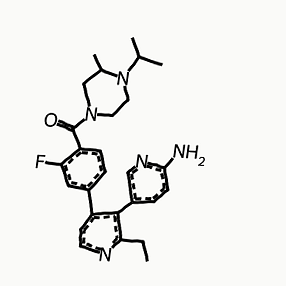 CCc1nccc(-c2ccc(C(=O)N3CCN(C(C)C)C(C)C3)c(F)c2)c1-c1ccc(N)nc1